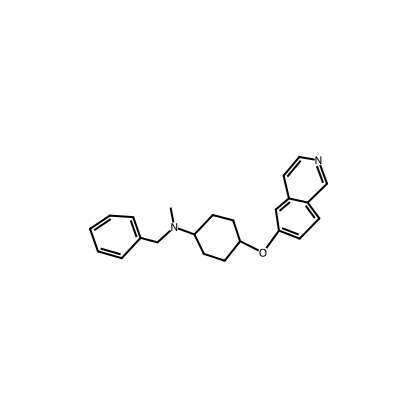 CN(Cc1ccccc1)C1CCC(Oc2ccc3cnccc3c2)CC1